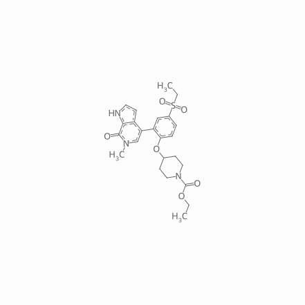 CCOC(=O)N1CCC(Oc2ccc(S(=O)(=O)CC)cc2-c2cn(C)c(=O)c3[nH]ccc23)CC1